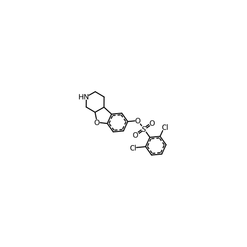 O=S(=O)(Oc1ccc2c(c1)C1CCNCC1O2)c1c(Cl)cccc1Cl